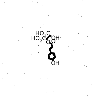 O=C(C=Cc1ccc(O)cc1)OC(C(=O)O)C(O)C(=O)O